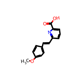 COc1ccc(/C=C/c2cccc(C(=O)O)n2)cc1